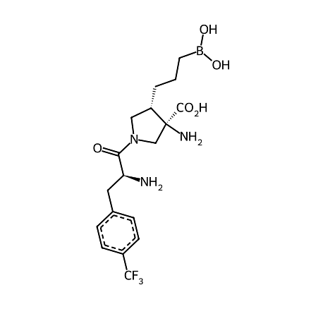 N[C@@H](Cc1ccc(C(F)(F)F)cc1)C(=O)N1C[C@H](CCCB(O)O)[C@](N)(C(=O)O)C1